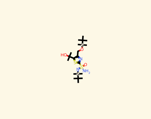 CC(C)(O)c1sc(S(N)(=O)=N[Si](C)(C)C(C)(C)C)nc1CO[Si](C)(C)C(C)(C)C